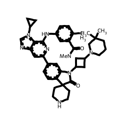 CNC(=O)c1cc(Nc2nc(-c3ccc4c(c3)N(C3CC(N5CCCC(C)(C)C5)C3)C(=O)C43CCNCC3)cc3ncn(C4CC4)c23)ccc1C